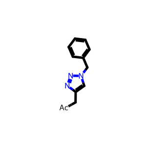 CC(=O)Cc1cn(Cc2ccccc2)nn1